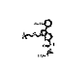 COc1ccccc1-c1cn(COCC[Si](C)(C)C)c2nc(NC(=O)[C@@H]3C[C@@H]3CO)ccc12